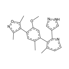 COc1cc(-c2c(C)ccnc2-c2cn[nH]c2)c(C)cc1-c1c(C)noc1C